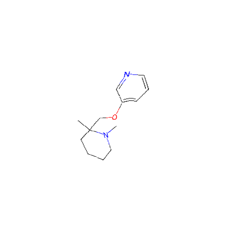 CN1CCCCC1(C)COc1cccnc1